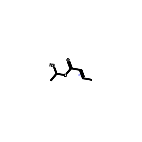 C/C=C/C(=O)OC(C)S